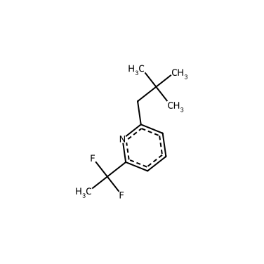 CC(C)(C)Cc1cccc(C(C)(F)F)n1